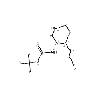 CC(C)(C)OC(=O)N[C@@H]1CNCC[C@H]1CCF